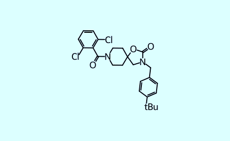 CC(C)(C)c1ccc(CN2CC3(CCN(C(=O)c4c(Cl)cccc4Cl)CC3)OC2=O)cc1